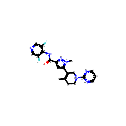 CC1=C(c2cc(C(=O)Nc3c(F)cncc3F)nn2C)CN(c2ncccn2)CC1